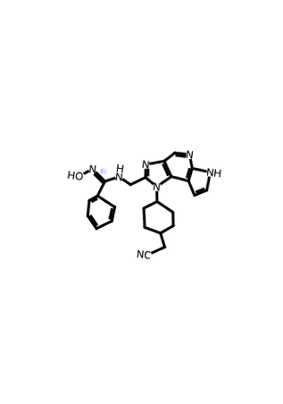 N#CCC1CCC(n2c(CN/C(=N/O)c3ccccc3)nc3cnc4[nH]ccc4c32)CC1